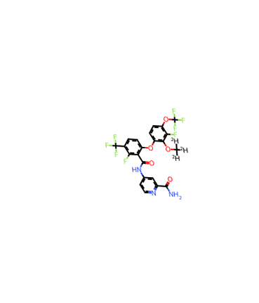 [2H]C([2H])([2H])Oc1c(Oc2ccc(C(F)(F)F)c(F)c2C(=O)Nc2ccnc(C(N)=O)c2)ccc(OC(F)(F)F)c1F